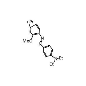 CCCc1ccc(N=Nc2ccc(N(CC)CC)cc2)c(OC)c1